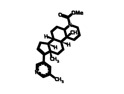 COC(=O)N1CCC[C@@]2(C)C1CC[C@@H]1[C@@H]2CC[C@]2(C)C(c3cncc(C)c3)=CC[C@@H]12